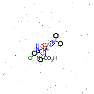 C[C@@H](NC(=O)c1[nH]c2ccc(Cl)cc2c1Sc1ncccc1C(=O)O)C(=O)N1CCN(C(c2ccccc2)c2ccccc2)CC1